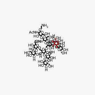 CC(=O)NC1[C@H](O[C@@H]2C(CO)O[C@@H](OCCN)C(NC(C)=O)[C@@H]2O)OC(CO)[C@@H](O[C@@H]2OC(CO[C@H]3OC(CO[C@H]4OC(CO)[C@@H](O)[C@H](O)C4O[C@H]4OC(CO)[C@@H](O)[C@H](O)C4O)[C@@H](O)[C@H](O[C@H]4O[C@@H](CO)[C@@H](O)C(O)C4O[C@H]4O[C@@H](CO)[C@@H](O)C(O)C4O)C3O)[C@@H](O)[C@H](O[C@H]3O[C@@H](CO)[C@@H](O)C(O)C3O[C@H]3O[C@@H](CO)[C@@H](O)C(O)C3O[C@H]3O[C@@H](CO)[C@@H](O)C(O)C3O)C2O)[C@H]1O